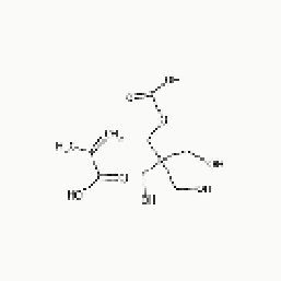 C=C(C)C(=O)O.O=C(O)OCC(CO)(CO)CO